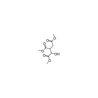 COC(=O)CC(C(=O)OC)C(O)C(=O)OC